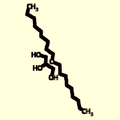 CCCCCCCCCOCCCCCCCCC.OCC(O)CO